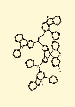 Clc1ccc2c(c1)Sc1ccccc1C21c2ccc(/C(=C\Cc3ccc4sc5ccccc5c4c3-c3ccccc3)c3ccc4c(c3)c3ccccc3n4-c3ccccc3)cc2-c2cc(N(c3ccccc3)c3cc(-c4ccccc4)c4oc5ccccc5c4c3)ccc21